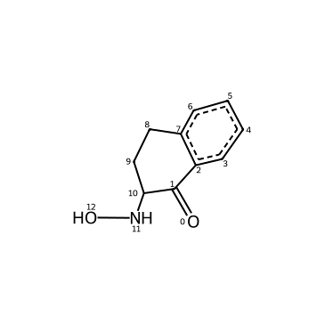 O=C1c2ccccc2CCC1NO